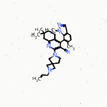 C=CCN1CC2(CCN(c3nc4c(c(-c5c(C)ccc6cnn(C)c56)c3C#N)CCC(C)(C)C4)C2)C1